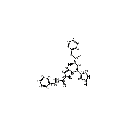 CN(Cc1ccccc1)c1cc(-c2cn[nH]c2)n2nc(C(=O)NCc3ccccc3)cc2n1